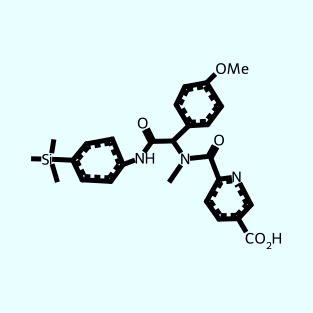 COc1ccc(C(C(=O)Nc2ccc([Si](C)(C)C)cc2)N(C)C(=O)c2ccc(C(=O)O)cn2)cc1